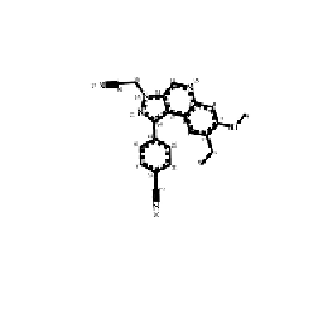 CCc1cc2c(cc1OC)ncc1c2c(-c2ccc(C#N)cc2)nn1CC#N